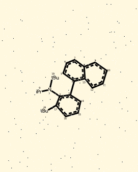 CC(C)N(c1c(-c2cccc3ccccc23)cccc1C(C)(C)C)C(C)(C)C